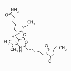 CCNC(=O)[C@H](CCCNC(N)=O)NC(=O)[C@@H](NC(=O)CCCCCN1C(=O)CC(CC)C1=O)C(C)C